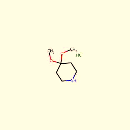 COC1(OC)CCNCC1.Cl